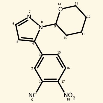 N#Cc1cc(-c2ccnn2C2CCCCO2)ccc1[N+](=O)[O-]